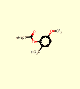 CCCCCCCC(=O)Oc1cc(OC(F)(F)F)ccc1C(=O)O